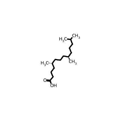 CC(C)CCC[C@@H](C)CCC[C@@H](C)CCCC(=O)O